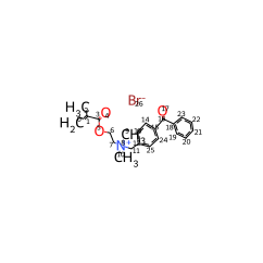 C=C(C)C(=O)OCC[N+](C)(C)Cc1ccc(C(=O)c2ccccc2)cc1.[Br-]